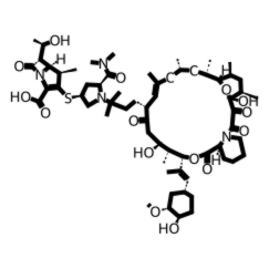 CO[C@@H]1C[C@H](/C=C(\C)[C@H]2OC(=O)[C@@H]3CCCCN3C(=O)C(=O)[C@]3(O)O[C@H]([C@@H](C)C[C@@H](C)C/C(C)=C/[C@@H](CCC(C)(C)N4C[C@@H](SC5=C(C(=O)O)N6C(=O)[C@H]([C@@H](C)O)[C@H]6[C@H]5C)C[C@H]4C(=O)N(C)C)C(=O)C[C@H](O)[C@H]2C)[C@@H](C)C[C@H]3C)CC[C@H]1O